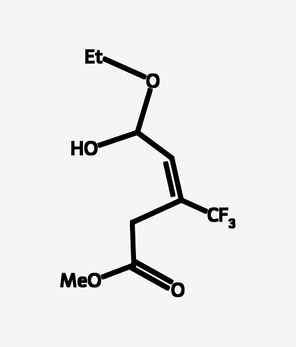 CCOC(O)C=C(CC(=O)OC)C(F)(F)F